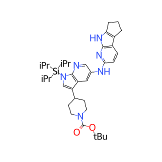 CC(C)[Si](C(C)C)(C(C)C)n1cc(C2CCN(C(=O)OC(C)(C)C)CC2)c2cc(Nc3ccc4c5c([nH]c4n3)CCC5)cnc21